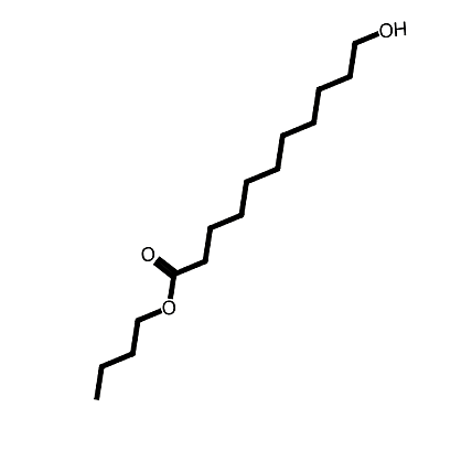 CCCCOC(=O)CCCCCCCCCCO